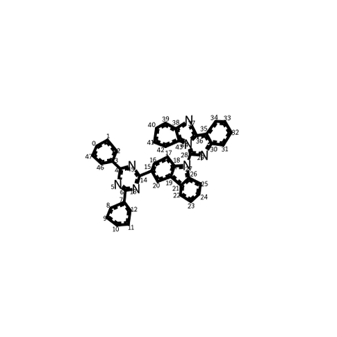 c1ccc(-c2nc(-c3ccccc3)nc(-c3ccc4c(c3)c3ccccc3n4-c3nc4ccccc4c4nc5ccccc5n34)n2)cc1